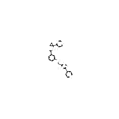 O=C(NC1(c2ccncn2)CC1)c1cccc(NCc2nnc(-c3ccncc3)[nH]2)c1